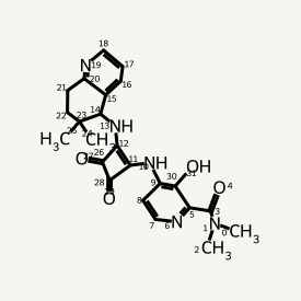 CN(C)C(=O)c1nccc(Nc2c(NC3c4cccnc4CCC3(C)C)c(=O)c2=O)c1O